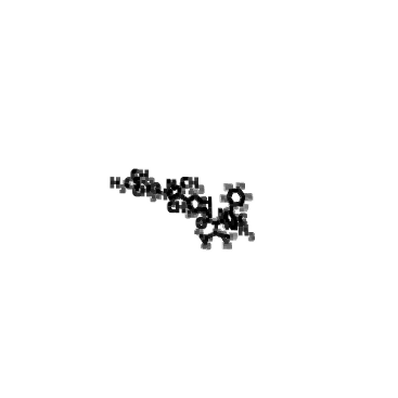 Cc1nn(COCCS(C)(C)C)c(C)c1-c1ccc(NC(=O)C(c2nc(-c3ccccc3)c(C)[nH]2)C(C2CC2)C2CC2)cc1